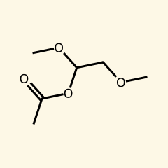 COCC(OC)OC(C)=O